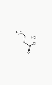 C/C=C/C(=O)Cl.Cl